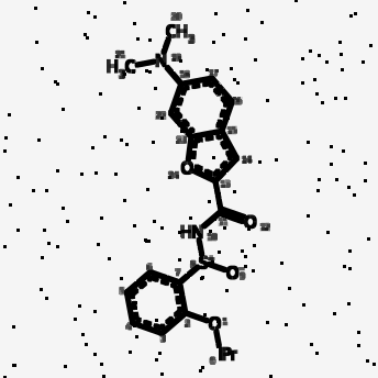 CC(C)Oc1ccccc1[S+]([O-])NC(=O)c1cc2ccc(N(C)C)cc2o1